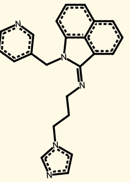 c1cncc(CN2C(=NCCCn3ccnc3)c3cccc4cccc2c34)c1